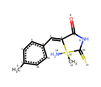 Cc1ccc(C=C2C(=O)NC(=S)S2(C)N)cc1